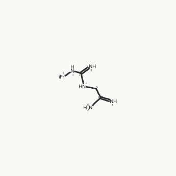 CC(C)NC(=N)NCC(=N)N